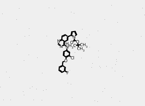 CC(C)(C)OC(=O)n1cccc1-c1ccc2ncnc(Nc3ccc(OCc4cccc(F)c4)c(Cl)c3)c2c1